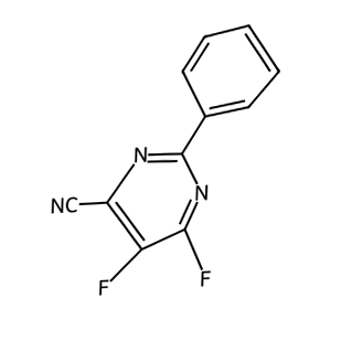 N#Cc1nc(-c2ccccc2)nc(F)c1F